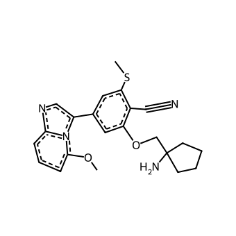 COc1cccc2ncc(-c3cc(OCC4(N)CCCC4)c(C#N)c(SC)c3)n12